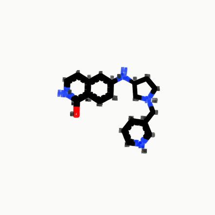 O=c1[nH]ccc2cc(N[C@H]3CCN(Cc4cccnc4)C3)ccc12